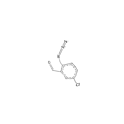 [N-]=[N+]=Nc1ccc(Cl)cc1C=O